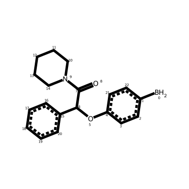 Bc1ccc(OC(C(=O)N2CCCCC2)c2ccccc2)cc1